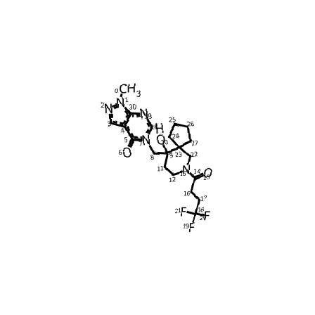 Cn1ncc2c(=O)n(CC3(O)CCN(C(=O)CCC(F)(F)F)CC34CCCC4)cnc21